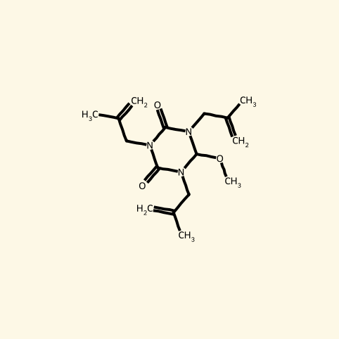 C=C(C)CN1C(=O)N(CC(=C)C)C(OC)N(CC(=C)C)C1=O